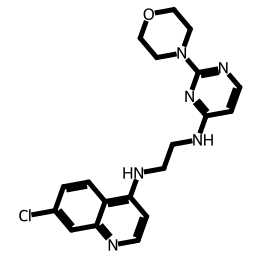 Clc1ccc2c(NCCNc3ccnc(N4CCOCC4)n3)ccnc2c1